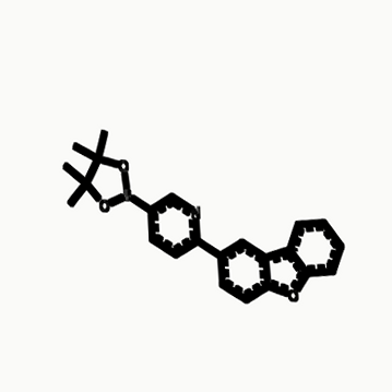 CC1(C)OB(c2ccc(-c3ccc4oc5ccccc5c4c3)nc2)OC1(C)C